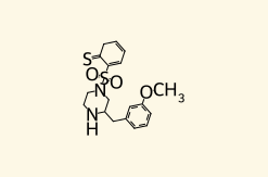 COc1cccc(CC2CN(S(=O)(=O)C3=CC=CCC3=S)CCN2)c1